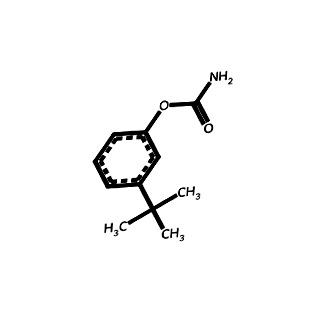 CC(C)(C)c1cccc(OC(N)=O)c1